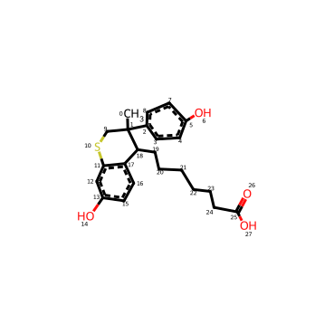 CC1(c2ccc(O)cc2)CSc2cc(O)ccc2C1CCCCCCC(=O)O